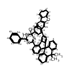 CC1(C)c2ccccc2C2(c3ccc(C4C=Cc5c(oc6ccccc56)C4)cc3-c3c(C4=N[C@@](C)(c5ccccc5)NC(c5c#cccc5)=N4)cccc32)c2ccccc21